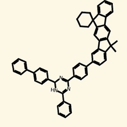 CC1(C)c2ccc(-c3ccc(C4=NC(c5ccc(-c6ccccc6)cc5)NC(c5ccccc5)=N4)cc3)cc2-c2cc3c(cc21)-c1ccccc1C31CCCCC1